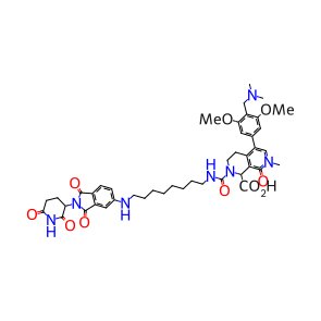 COc1cc(-c2cn(C)c(=O)c3c2CCN(C(=O)NCCCCCCCCNc2ccc4c(c2)C(=O)N(C2CCC(=O)NC2=O)C4=O)C3C(=O)O)cc(OC)c1CN(C)C